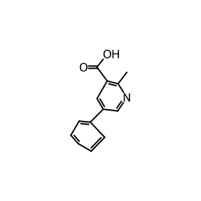 Cc1ncc(-c2ccccc2)cc1C(=O)O